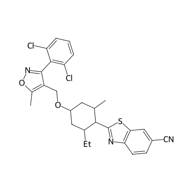 CCC1CC(OCc2c(-c3c(Cl)cccc3Cl)noc2C)CC(C)C1c1nc2ccc(C#N)cc2s1